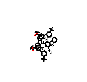 CC(C)(C)c1ccc2c(c1)c1cc(C(C)(C)C)ccc1n2-c1c(-n2c3ccc(C(C)(C)C)cc3c3cc(C(C)(C)C)ccc32)c(-n2c3ccc(C(C)(C)C)cc3c3cc(C(C)(C)C)ccc32)c2c(sc3ccccc32)c1C#N